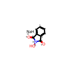 O=C1c2ccccc2C(=O)N1O.[NaH]